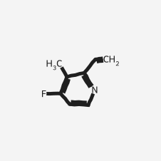 C=Cc1nccc(F)c1C